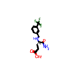 NC(=O)[C@H](CCC(=O)O)NCc1cccc(C(F)(F)F)c1